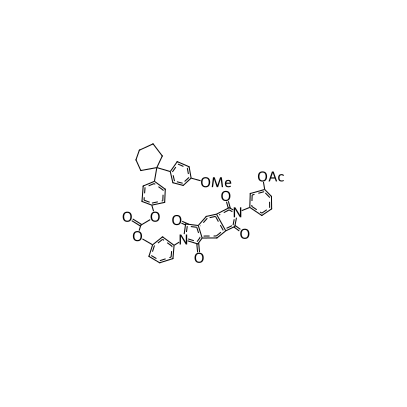 COc1ccc(C2(c3ccc(OC(=O)Oc4cccc(-n5c(=O)c6cc7c(=O)n(-c8cccc(OC(C)=O)c8)c(=O)c7cc6c5=O)c4)cc3)CCCCC2)cc1